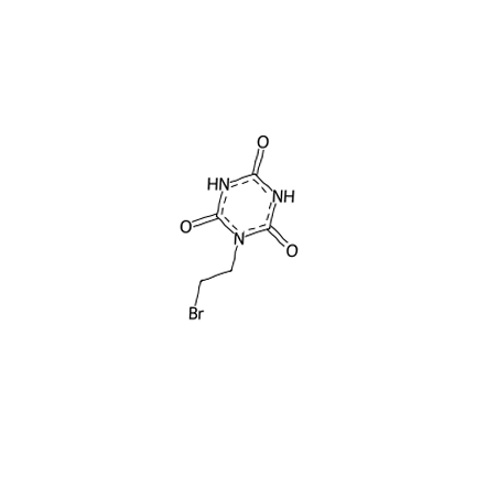 O=c1[nH]c(=O)n(CCBr)c(=O)[nH]1